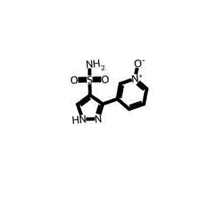 NS(=O)(=O)c1c[nH]nc1-c1ccc[n+]([O-])c1